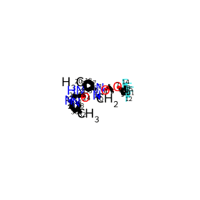 C=N/C(=N\OCCOC1CC(F)(F)C1(F)F)c1ccc(C)c(NC(=O)c2cnc3ccc(C)cn23)c1